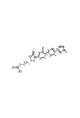 CCN(CC)CCOC[C@H]1CN(c2ccc(-c3ccc(-c4nnn(C)n4)nc3)c(F)c2)C(=O)O1